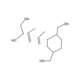 C=CC.C=CC.OCC1CCC(CO)CC1.OCCO